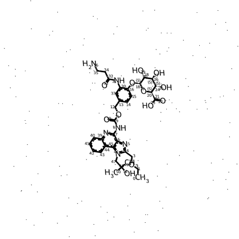 CCOCc1nc2c(NC(=O)OCc3ccc(O[C@@H]4O[C@H](C(=O)O)[C@@H](O)[C@H](O)[C@H]4O)c(NC(=O)CCN)c3)nc3ccccc3c2n1CC(C)(C)O